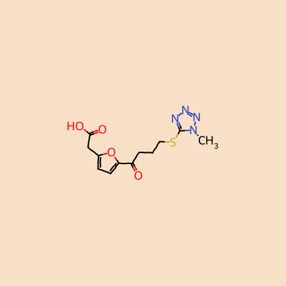 Cn1nnnc1SCCCC(=O)c1ccc(CC(=O)O)o1